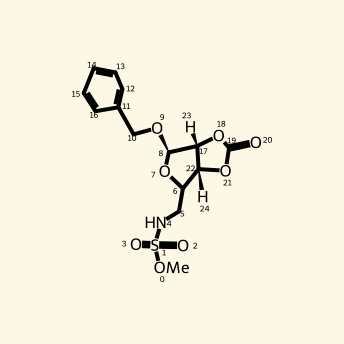 COS(=O)(=O)NCC1O[C@@H](OCc2ccccc2)[C@@H]2OC(=O)O[C@H]12